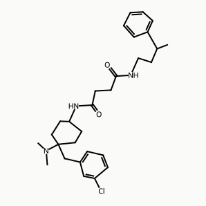 CC(CCNC(=O)CCC(=O)NC1CCC(Cc2cccc(Cl)c2)(N(C)C)CC1)c1ccccc1